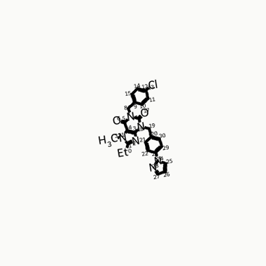 CCc1nc2c(c(=O)n(Cc3ccc(Cl)cc3)c(=O)n2Cc2ccc(-n3cccn3)cc2)n1C